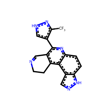 FC(F)(F)c1n[nH]cc1-c1nc2ccc3[nH]ncc3c2c2c1C=NCC2